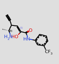 C#CC(/C=C(\O)C(=O)Nc1cccc(C(F)(F)F)c1)[C@@H](C)N